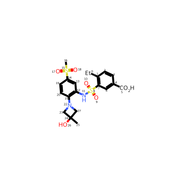 CCc1ccc(C(=O)O)cc1S(=O)(=O)Nc1cc(S(C)(=O)=O)ccc1N1CC(C)(O)C1